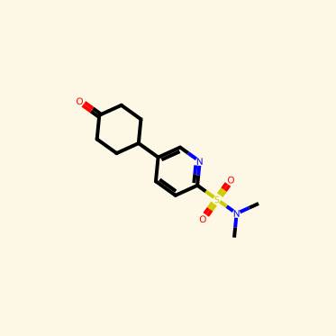 CN(C)S(=O)(=O)c1ccc(C2CCC(=O)CC2)cn1